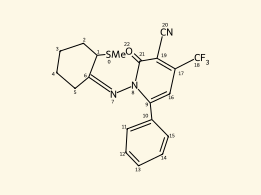 CSC1CCCC/C1=N/n1c(-c2ccccc2)cc(C(F)(F)F)c(C#N)c1=O